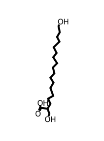 O=C(O)C(CO)CCCCCCCCCCCCCCCCO